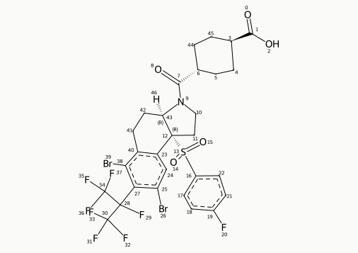 O=C(O)[C@H]1CC[C@H](C(=O)N2CC[C@@]3(S(=O)(=O)c4ccc(F)cc4)c4cc(Br)c(C(F)(C(F)(F)F)C(F)(F)F)c(Br)c4CC[C@@H]23)CC1